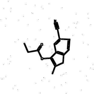 CCC(=O)OC1=C(C)Cc2ccc(C#N)cc21